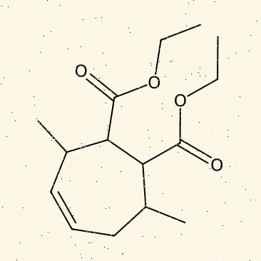 CCOC(=O)C1C(C)C=CCC(C)C1C(=O)OCC